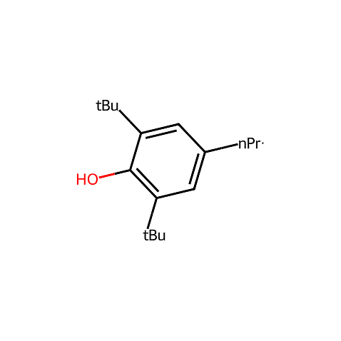 CC[CH]c1cc(C(C)(C)C)c(O)c(C(C)(C)C)c1